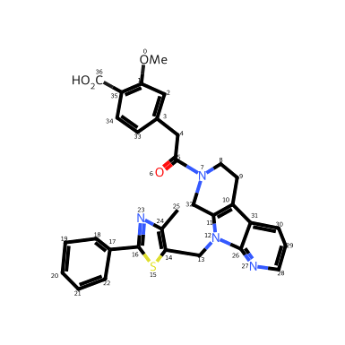 COc1cc(CC(=O)N2CCc3c(n(Cc4sc(-c5ccccc5)nc4C)c4ncccc34)C2)ccc1C(=O)O